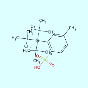 Cc1ccc(S(=O)(=O)O)c([Si](C(C)(C)C)(C(C)(C)C)C(C)(C)C)c1